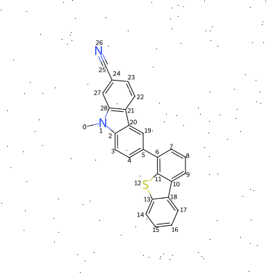 Cn1c2ccc(-c3cccc4c3sc3ccccc34)cc2c2ccc(C#N)cc21